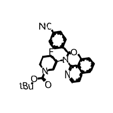 Cc1cccc2ccnc(N(C(=O)c3ccc(C#N)cc3F)[C@@H]3CCCN(C(=O)OC(C)(C)C)C3)c12